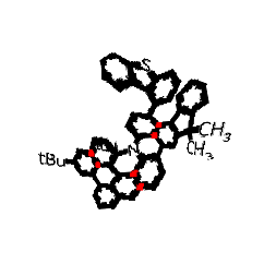 CC(C)(C)c1cc(-c2cccc3cccc(-c4ccccc4N(c4ccc(-c5cccc6sc7ccccc7c56)cc4)c4ccccc4-c4ccc5c(c4)C(C)(C)c4ccccc4-5)c23)cc(C(C)(C)C)c1